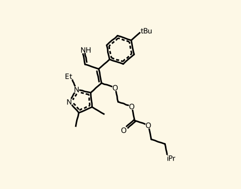 CCn1nc(C)c(C)c1/C(OCOC(=O)OCCC(C)C)=C(\C=N)c1ccc(C(C)(C)C)cc1